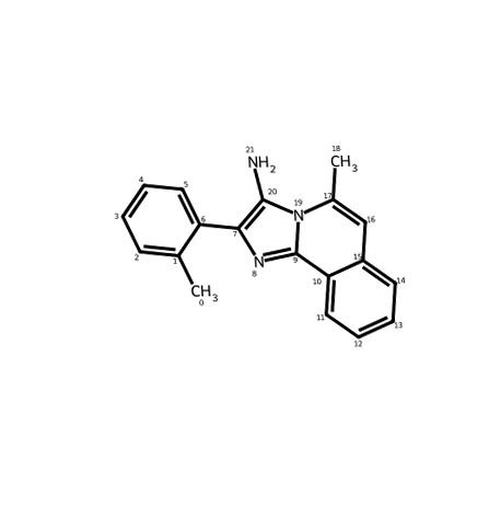 Cc1ccccc1-c1nc2c3ccccc3cc(C)n2c1N